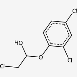 OC(CCl)Oc1ccc(Cl)cc1Cl